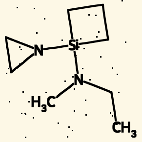 CCN(C)[Si]1(N2CC2)CCC1